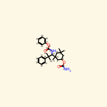 CC1(C)CC(OC(N)=O)CC(C)(C(NC(=O)Oc2ccccc2)C(C)(C)c2ccccc2)C1